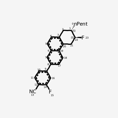 CCCCC[C@H]1Cc2ccc3cc(-c4ccc(C#N)c(F)c4)ccc3c2C[C@@H]1F